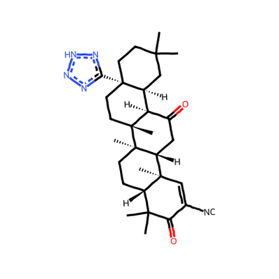 [C-]#[N+]C1=C[C@]2(C)[C@H]3CC(=O)[C@@H]4[C@@H]5CC(C)(C)CC[C@]5(c5nn[nH]n5)CC[C@@]4(C)[C@]3(C)CC[C@H]2C(C)(C)C1=O